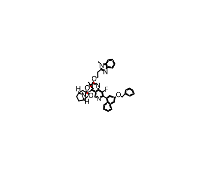 Cn1c(CCOc2nc(N3C[C@H]4CC[C@@H](C3)N4C(=O)OC(C)(C)C)c3cnc(-c4cc(OCc5ccccc5)cc5ccccc45)c(F)c3n2)nc2ccccc21